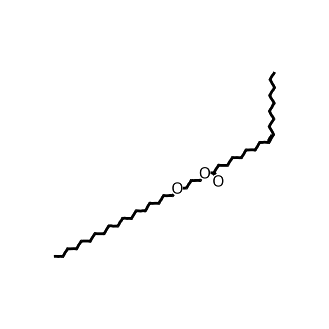 CCCCCCCC/C=C\CCCCCCCC(=O)OCCCOCCCCCCCCCCCCCCCCCC